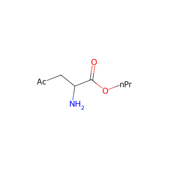 CCCOC(=O)C(N)CC(C)=O